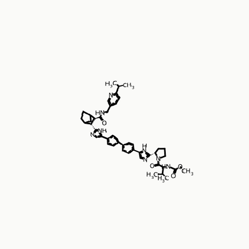 COC(=O)N[C@H](C(=O)N1CCC[C@H]1c1ncc(-c2ccc(-c3ccc(-c4cnc([C@@H]5C6CCC(C6)[C@H]5C(=O)NCc5ccc(C(C)C)nc5)[nH]4)cc3)cc2)[nH]1)C(C)C